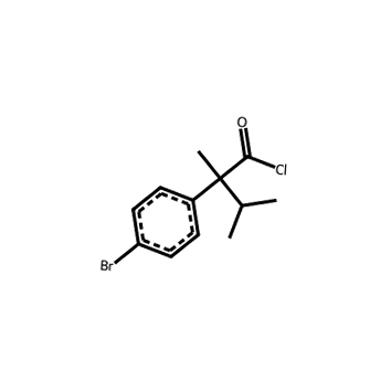 CC(C)C(C)(C(=O)Cl)c1ccc(Br)cc1